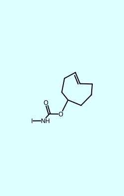 O=C(NI)OC1CC/C=C/CCC1